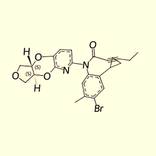 CCC#CC(=O)N(c1ccc2c(n1)O[C@H]1COC[C@@H]1O2)c1cc(C)c(Br)cc1C1CC1